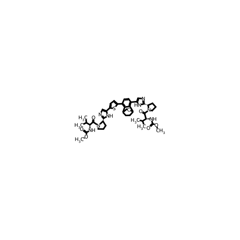 COC(=O)N[C@H](C(=O)N1CCC[C@H]1c1ncc(-c2ccc(-c3ccc(-c4cnc([C@@H]5CCCN5C(=O)[C@@H](NC(=O)OC)C(C)C)[nH]4)c4c3C3CCC4CC3)s2)[nH]1)C(C)C